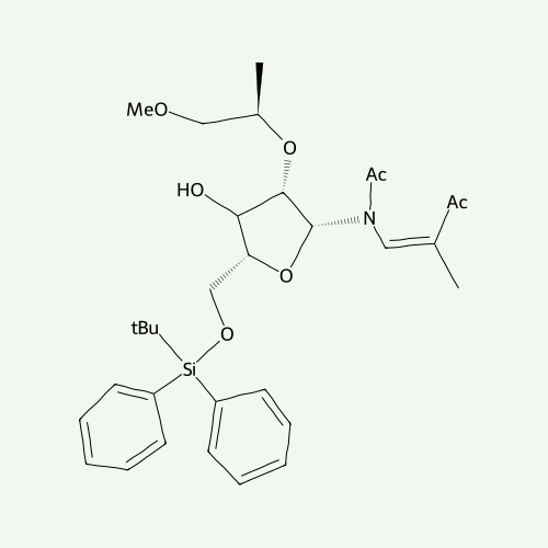 COC[C@@H](C)O[C@H]1C(O)[C@@H](CO[Si](c2ccccc2)(c2ccccc2)C(C)(C)C)O[C@H]1N(/C=C(/C)C(C)=O)C(C)=O